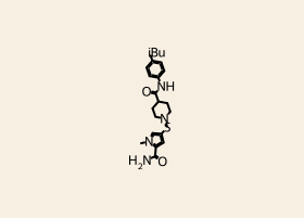 CCC(C)c1ccc(NC(=O)C2CCN(Sc3cc(C(N)=O)n(C)c3)CC2)cc1